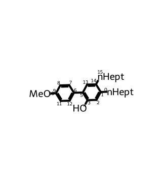 CCCCCCCc1cc(O)c(-c2ccc(OC)cc2)cc1CCCCCCC